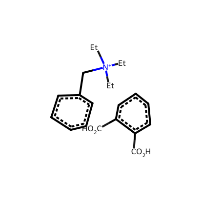 CC[N+](CC)(CC)Cc1ccccc1.O=C(O)c1ccccc1C(=O)O